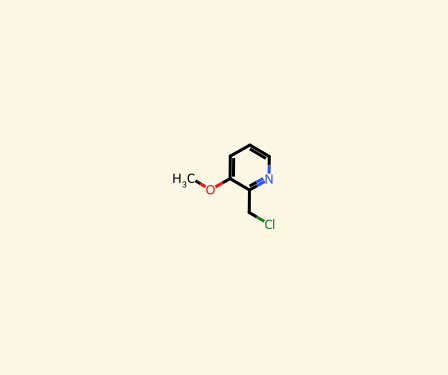 COc1cccnc1CCl